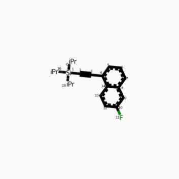 CC(C)[Si](C#Cc1cccc2cc(F)ccc12)(C(C)C)C(C)C